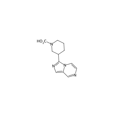 O=C(O)N1CCCC(c2ncc3cnccn23)C1